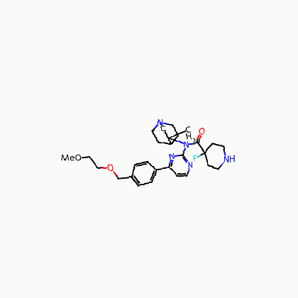 COCCOCc1ccc(-c2ccnc(N(C(=O)C3(F)CCNCC3)C3(C)CN4CCC3CC4)n2)cc1